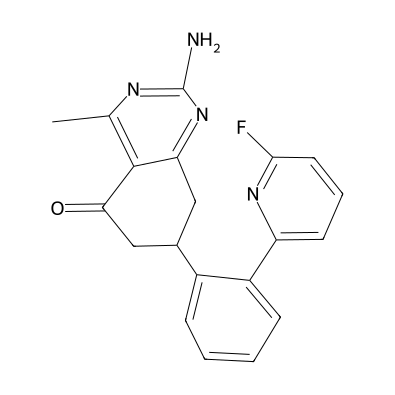 Cc1nc(N)nc2c1C(=O)CC(c1ccccc1-c1cccc(F)n1)C2